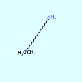 CN(C)CCCCCCCCCCCCCCCCCCCCN